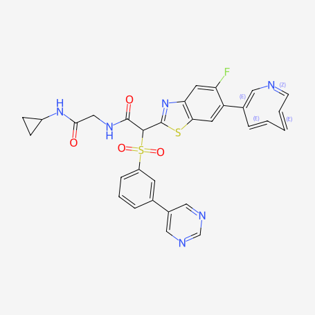 O=C(CNC(=O)C(c1nc2cc(F)c(C3=C/N=C\C=C\C=C\3)cc2s1)S(=O)(=O)c1cccc(-c2cncnc2)c1)NC1CC1